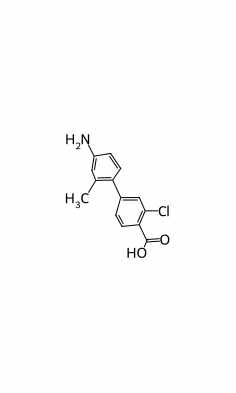 Cc1cc(N)ccc1-c1ccc(C(=O)O)c(Cl)c1